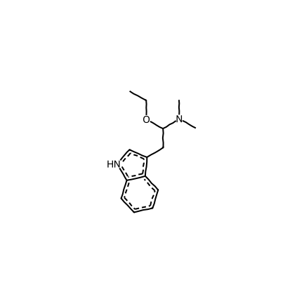 CCOC(Cc1c[nH]c2ccccc12)N(C)C